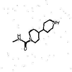 CNC(=O)N1CCC(C2CCNCC2)CC1